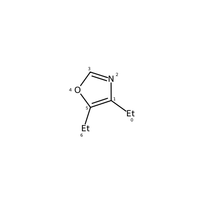 [CH2]Cc1ncoc1CC